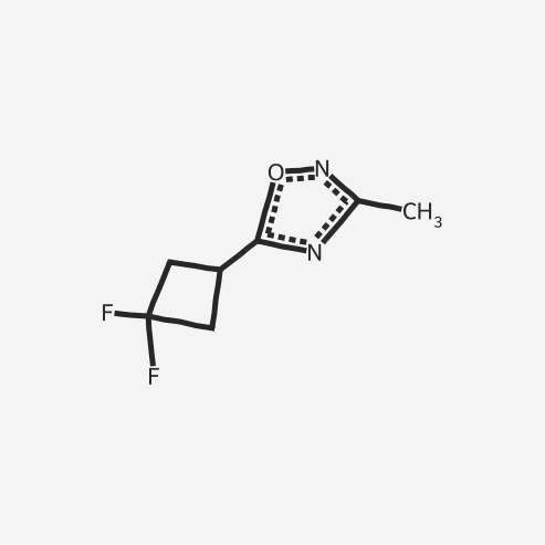 Cc1noc(C2CC(F)(F)C2)n1